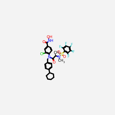 C[C@H](C(=O)N(Cc1ccc(C2CCCCC2)cc1)c1ccc(C(=O)NO)cc1Cl)N(C)S(=O)(=O)c1c(F)c(F)c(F)c(F)c1F